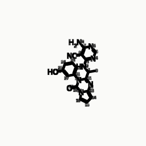 CC(Nc1ncnc(N)c1C#N)c1nc2cccn2c(=O)n1-c1cccc(O)c1